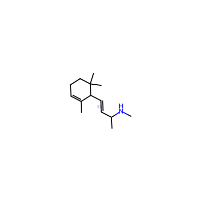 CNC(C)/C=C/C1C(C)=CCCC1(C)C